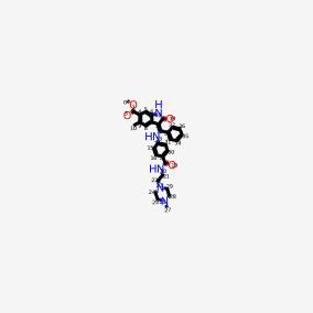 COC(=O)c1cc2c(cc1C)C(=C(Nc1ccc(C(=O)NCCN3CCN(C)CC3)cc1)c1ccccc1)C(=O)N2